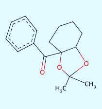 CC1(C)OC2CCCCC2(C(=O)c2ccccc2)O1